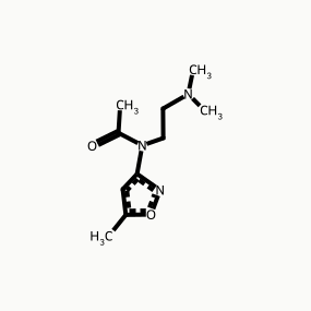 CC(=O)N(CCN(C)C)c1cc(C)on1